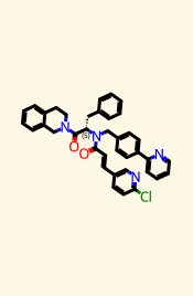 O=C([C@H](Cc1ccccc1)N(Cc1ccc(-c2ccccn2)cc1)C(=O)C=Cc1ccc(Cl)nc1)N1CCc2ccccc2C1